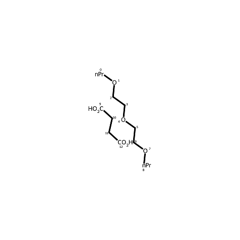 CCCOCCOCCOCCC.O=C(O)CCC(=O)O